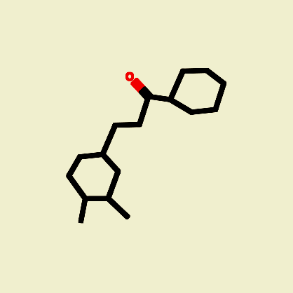 CC1CCC(CCC(=O)C2CCCCC2)CC1C